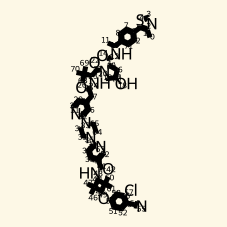 Cc1ncsc1-c1ccc(C(C)NC(=O)[C@@H]2C[C@@H](O)CN2C(=O)C(NC(=O)Cc2ccnc(N3CCN(c4ccc(C(=O)N[C@H]5C(C)(C)[C@H](Oc6ccc(C#N)c(Cl)c6)C5(C)C)cn4)CC3)c2)C(C)(C)C)cc1